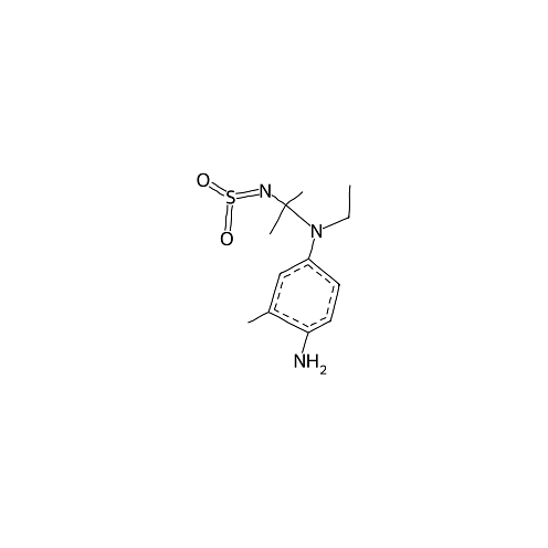 CCN(c1ccc(N)c(C)c1)C(C)(C)N=S(=O)=O